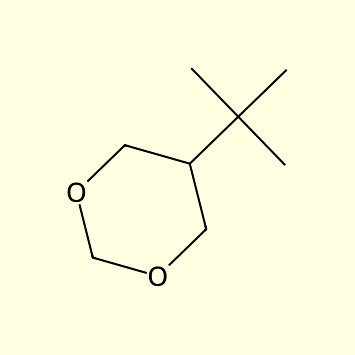 CC(C)(C)C1COCOC1